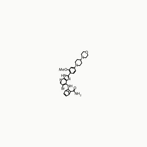 COc1cc(N2CCC(N3CCOCC3)CC2)ccc1-c1nc2c(NC3C4C=CC(C4)C3C(N)=O)c(Br)cnc2[nH]1